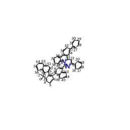 CC1(C)c2cccc(-c3ccc(-c4nc(-c5ccccc5)cc(-c5cc(-c6ccccc6)ccc5-c5ccccc5)n4)c4ccccc34)c2-c2ccc3ccccc3c21